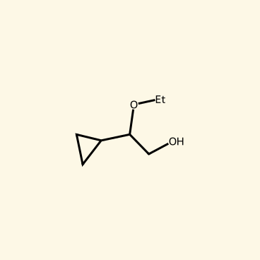 CCOC(CO)C1CC1